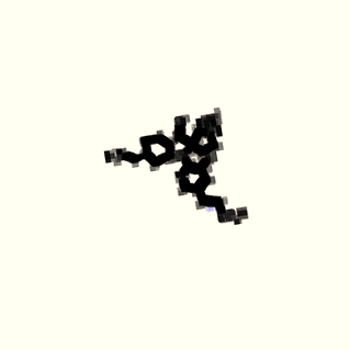 Cl.Cl.NC[C@H]1CC[C@H](C(=O)[C@@]2(Nc3ncc(/C=C/C(=O)O)cc3Cl)CCNC2)CC1